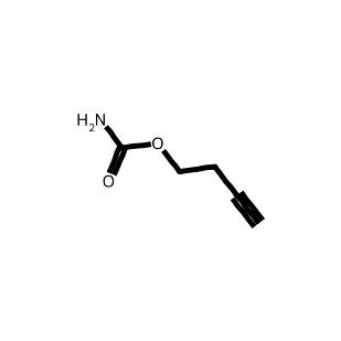 C#CCCOC(N)=O